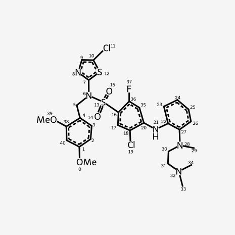 COc1ccc(CN(c2ncc(Cl)s2)S(=O)(=O)c2cc(Cl)c(Nc3ccccc3N(C)CCN(C)C)cc2F)c(OC)c1